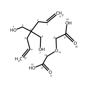 C=CCC(CO)(CO)CC=C.O=C(O)COCC(=O)O